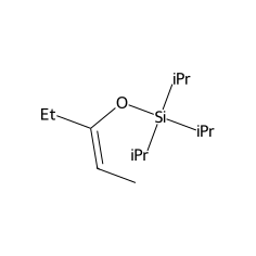 CC=C(CC)O[Si](C(C)C)(C(C)C)C(C)C